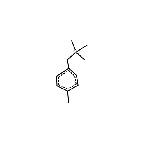 [CH2]c1ccc(C[Si](C)(C)C)cc1